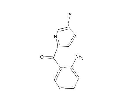 Nc1ccccc1C(=O)c1ccc(F)cn1